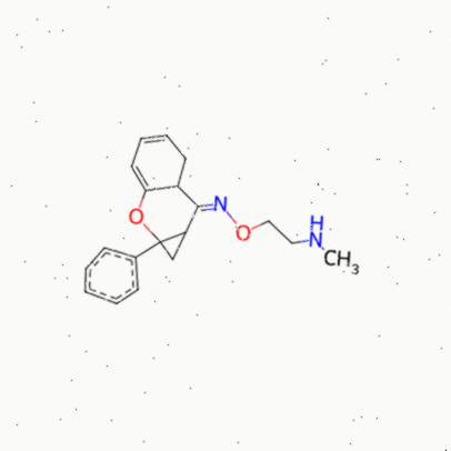 CNCCON=C1C2CC=CC=C2OC2(c3ccccc3)CC12